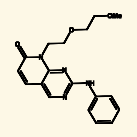 COCCOCCn1c(=O)ccc2cnc(Nc3ccccc3)nc21